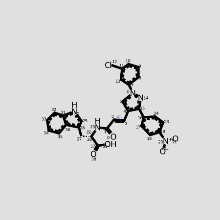 O=C(/C=C/c1cn(-c2cccc(Cl)c2)nc1-c1ccc([N+](=O)[O-])cc1)N[C@@H](Cc1c[nH]c2ccccc12)C(=O)O